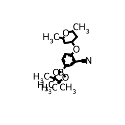 CC1CC(Oc2ccc(B3OC(C)(C)C(C)(C)O3)cc2C#N)CC(C)O1